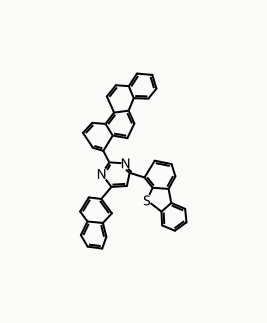 c1ccc2cc(-c3cc(-c4cccc5c4sc4ccccc45)nc(-c4cccc5c4ccc4c6ccccc6ccc54)n3)ccc2c1